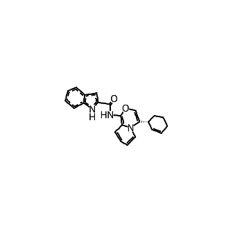 O=C(NC1=C2C=CC=CN2C([C@H]2C=CCCC2)=CO1)c1cc2ccccc2[nH]1